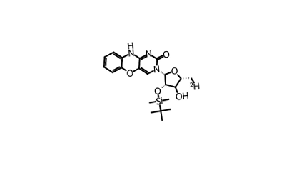 [2H]C[C@H]1O[C@@H](n2cc3c(nc2=O)Nc2ccccc2O3)[C@@H](O[Si](C)(C)C(C)(C)C)C1O